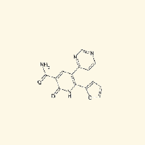 NC(=O)c1cc(-c2ccncn2)c(-c2ccco2)[nH]c1=O